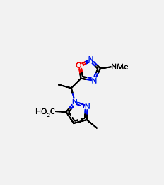 CNc1noc(C(C)n2nc(C)cc2C(=O)O)n1